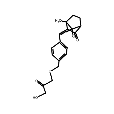 CC12CCC(C(=O)/C1=C\c1ccc(COCC(=O)CO)cc1)C2(C)C